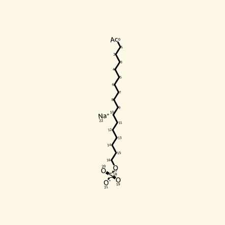 CC(=O)CCCCCCCCCCCCCCCCOS(=O)(=O)[O-].[Na+]